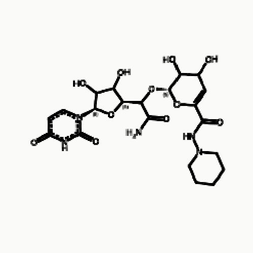 NC(=O)C(O[C@H]1OC(C(=O)NN2CCCCC2)=CC(O)C1O)[C@H]1O[C@@H](n2ccc(=O)[nH]c2=O)C(O)C1O